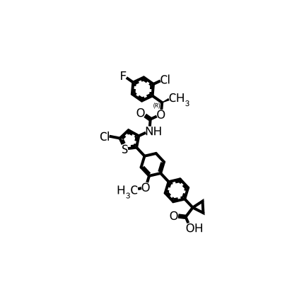 COC1=CC(c2sc(Cl)cc2NC(=O)O[C@H](C)c2ccc(F)cc2Cl)CC=C1c1ccc(C2(C(=O)O)CC2)cc1